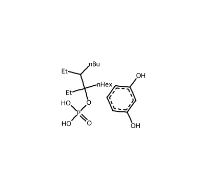 CCCCCCC(CC)(OP(=O)(O)O)C(CC)CCCC.Oc1cccc(O)c1